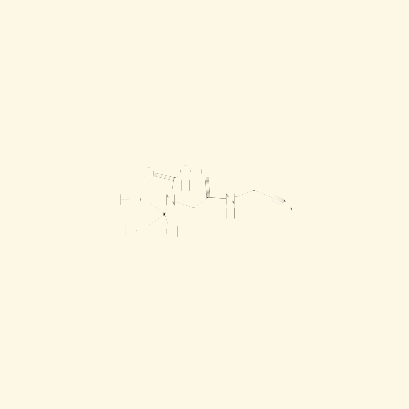 CC(C)(C)N(CC(=O)NCC#N)C(=O)O